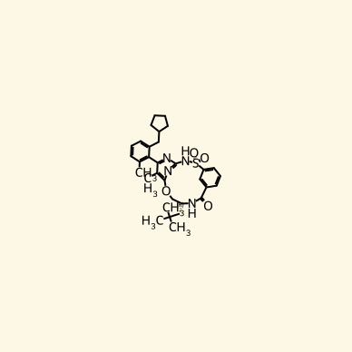 Cc1cccc(CC2CCCC2)c1-c1nc2nc(c1C)OC[C@@H](CC(C)(C)C)NC(=O)c1cccc(c1)S(=O)(=O)N2